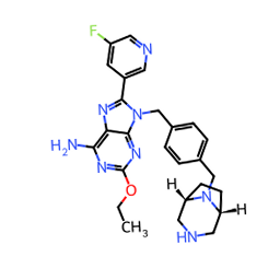 CCOc1nc(N)c2nc(-c3cncc(F)c3)n(Cc3ccc(CN4[C@@H]5CC[C@H]4CNC5)cc3)c2n1